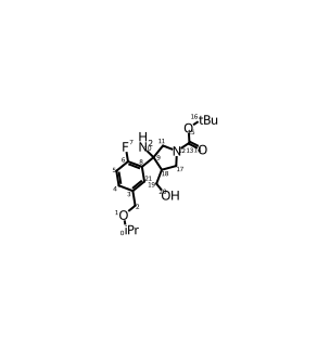 CC(C)OCc1ccc(F)c(C2(N)CN(C(=O)OC(C)(C)C)CC2CO)c1